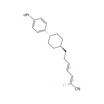 CCCc1ccc([C@H]2CC[C@H](CC/C=C/C=C(\F)C#N)CC2)cc1